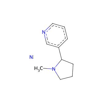 CN1CCCC1c1cccnc1.[N]